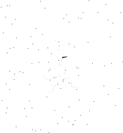 CCOC(=O)NC[Si](OCC)(OCC)OCC